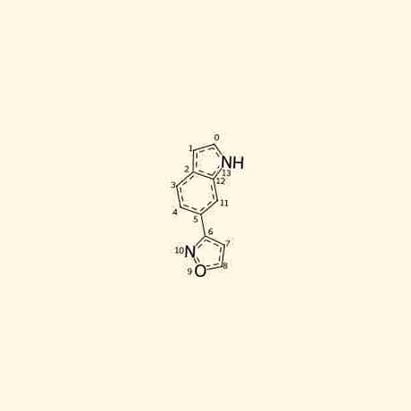 c1cc2ccc(-c3ccon3)cc2[nH]1